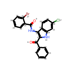 O=C(Nc1c(C(=O)c2ccccc2)[nH]c2cc(Cl)ccc12)c1ccccc1Br